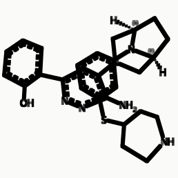 Nc1nnc(-c2ccccc2O)cc1N1C[C@H]2CC[C@@H](C1)N2c1cccc(SC2CCNCC2)c1